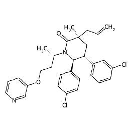 C=CC[C@@]1(C)C[C@H](c2cccc(Cl)c2)[C@@H](c2ccc(Cl)cc2)N([C@@H](C)CCOc2cccnc2)C1=O